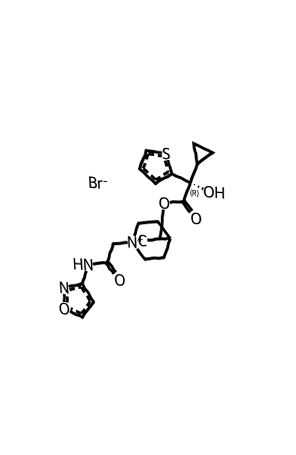 O=C(C[N+]12CCC(CC1)C(OC(=O)[C@@](O)(c1cccs1)C1CC1)C2)Nc1ccon1.[Br-]